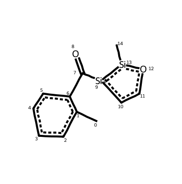 Cc1ccccc1C(=O)[si]1cco[si]1C